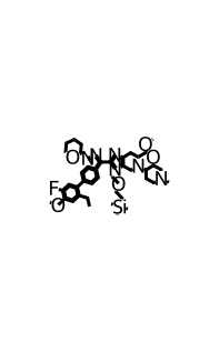 CCc1cc(OC)c(F)cc1-c1ccc2c(-c3nc4c(n3COCC[Si](C)(C)C)CN(C3CCN(C)CC3)C(C(=O)OC)C4)nn(C3CCCCO3)c2c1